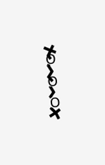 CC(C)(C)COCCCOCCCOCC(C)(C)C